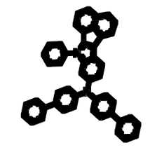 c1ccc(-c2ccc(N(c3ccc(-c4ccccc4)cc3)c3ccc4c5c(n(-c6ccccc6)c4c3)-c3cccc4cccc-5c34)cc2)cc1